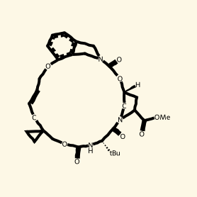 COC(=O)C1C[C@@H]2CN1C(=O)[C@H](C(C)(C)C)NC(=O)OCC1(C/C=C/COc3cccc4c3CN(C4)C(=O)O2)CC1